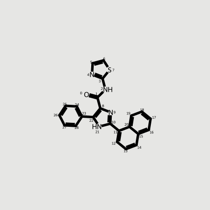 O=C(Nc1nccs1)c1nc(-c2cccc3ccccc23)[nH]c1-c1ccccc1